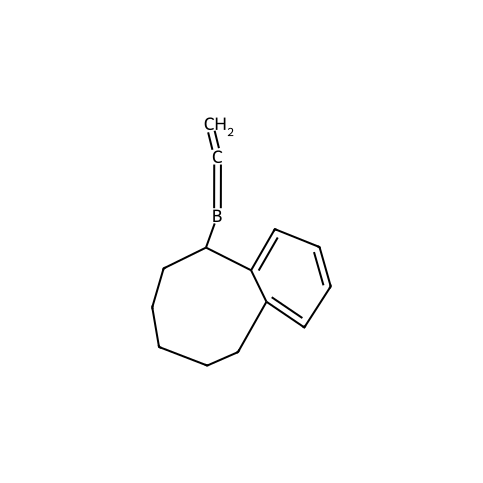 C=C=BC1CCCCCc2ccccc21